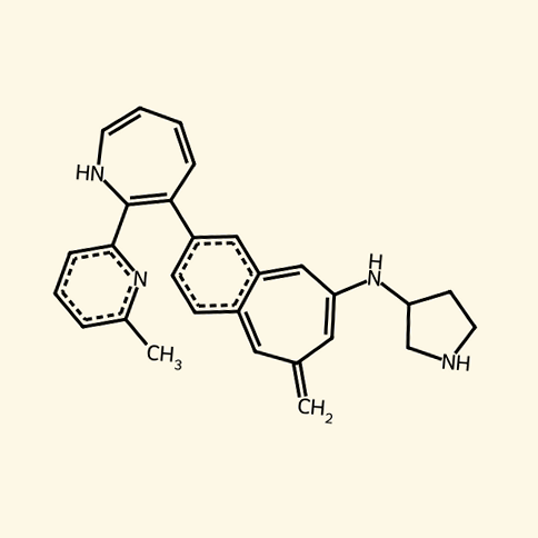 C=C1C=C(NC2CCNC2)C=c2cc(C3=C(c4cccc(C)n4)NC=CC=C3)ccc2=C1